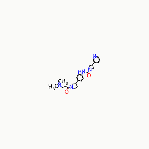 CN(C)CCC(=O)N1CCC(c2ccc(NC(=O)N3CC(c4cccnc4)C3)cc2)C1